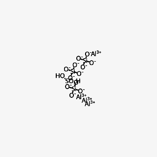 O=S(=O)(O)O.[Al+3].[Al+3].[Al+3].[Al+3].[O-][Si]([O-])([O-])[O-].[O-][Si]([O-])([O-])[O-].[O-][Si]([O-])([O-])[O-]